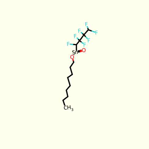 CCCCCCCCC[O][Sn](=[O])[CH](F)C(F)(F)C(F)(F)C(F)F